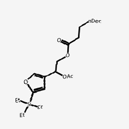 CCCCCCCCCCCCC(=O)OCC(OC(C)=O)c1coc([Si](CC)(CC)CC)c1